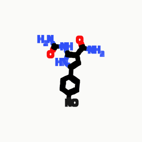 NC(=O)Nc1[nH]c(-c2ccc(N=O)cc2)cc1C(N)=O